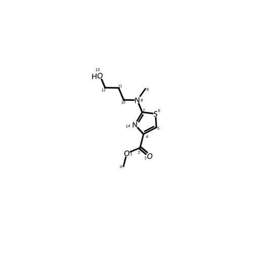 COC(=O)c1csc(N(C)CCCO)n1